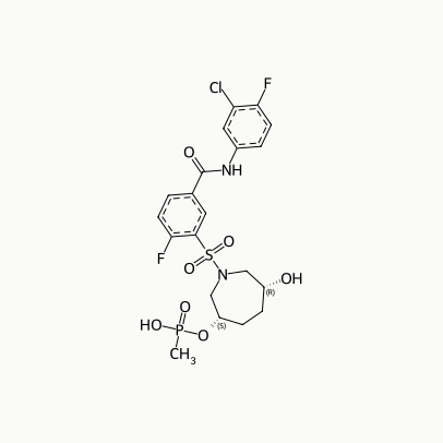 CP(=O)(O)O[C@H]1CC[C@@H](O)CN(S(=O)(=O)c2cc(C(=O)Nc3ccc(F)c(Cl)c3)ccc2F)C1